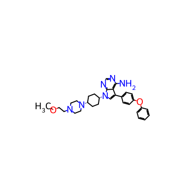 COCCN1CCN([C@H]2CC[C@@H](n3cc(-c4ccc(Oc5ccccc5)cc4)c4c(N)ncnc43)CC2)CC1